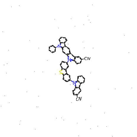 N#Cc1ccc2c(c1)c1ccccc1n2-c1ccc2sc3ccc(-n4c5ccc(C#N)cc5c5cc6c7ccccc7n(-c7ccccc7)c6cc54)cc3c2c1